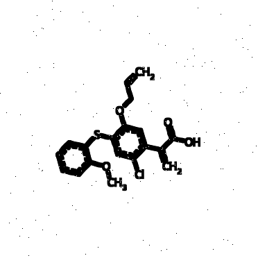 C=CCOc1cc(C(=C)C(=O)O)c(Cl)cc1Sc1ccccc1OC